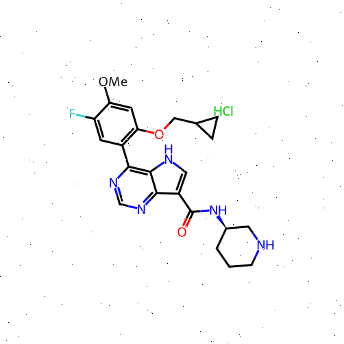 COc1cc(OCC2CC2)c(-c2ncnc3c(C(=O)N[C@@H]4CCCNC4)c[nH]c23)cc1F.Cl